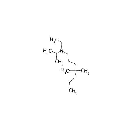 CCCC(C)(C)CCCN(CC)C(C)C